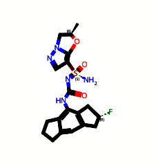 C[C@@H]1Cn2ncc([S@@](N)(=O)=NC(=O)Nc3c4c(cc5c3C[C@H](F)C5)CCC4)c2O1